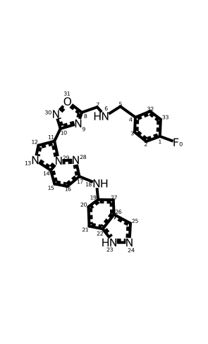 Fc1ccc(CNCc2nc(-c3cnc4ccc(Nc5ccc6[nH]ncc6c5)nn34)no2)cc1